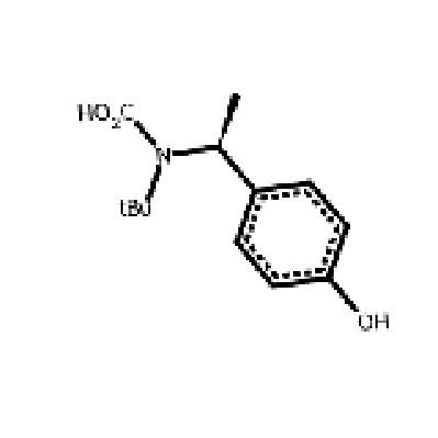 C[C@@H](c1ccc(O)cc1)N(C(=O)O)C(C)(C)C